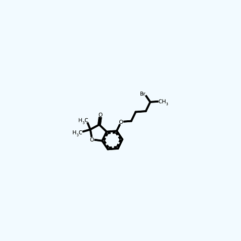 CC(Br)CCCOc1cccc2c1C(=O)C(C)(C)O2